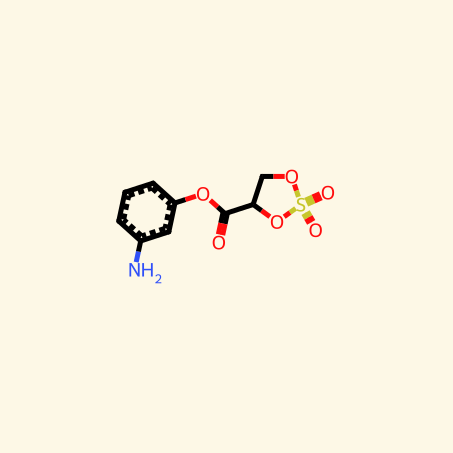 Nc1cccc(OC(=O)C2COS(=O)(=O)O2)c1